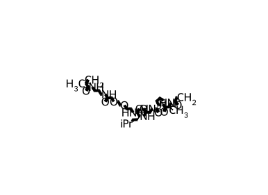 C=CC(=O)N[C@@H](C)C(=O)N1CCC[C@H]1C(=O)NCC(=O)N[C@@H](CCC(C)C)C(=O)NCCOCCOCC(=O)NCCCNC(=O)C(=C)C